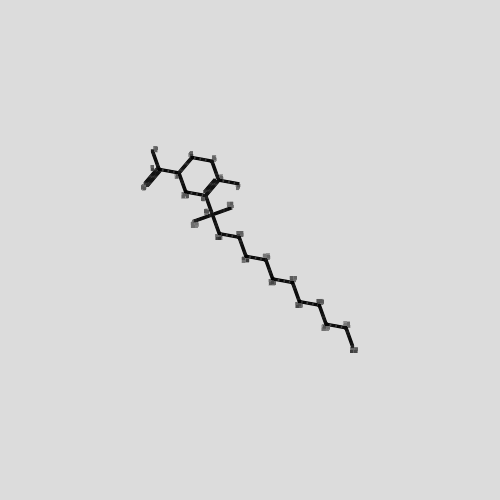 C=C(C)C1CCC(C)=C(C(C)(C)CCCCCCCCCCC)C1